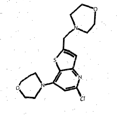 Clc1cc(N2CCOCC2)c2sc(CN3CCOCC3)cc2n1